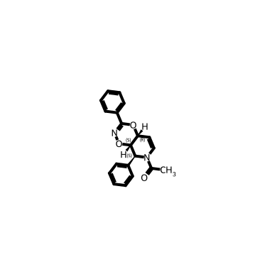 CC(=O)N1C=C[C@H]2OC(c3ccccc3)=NO[C@H]2[C@@H]1c1ccccc1